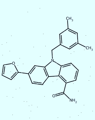 Cc1cc(C)cc(Cn2c3cc(-c4ccco4)c[c]c3c3c(C(N)=O)cccc32)c1